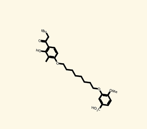 COc1ccc(C(=O)O)cc1OCCCCCCCCOc1ccc(C(=O)CC(C)(C)C)c(O)c1C